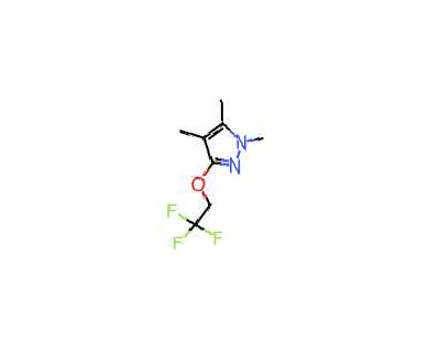 Cc1c(OCC(F)(F)F)nn(C)c1C